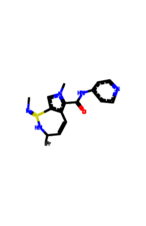 C/N=S1/NC(C(C)C)C=Cc2c1cn(C)c2C(=O)Nc1ccncc1